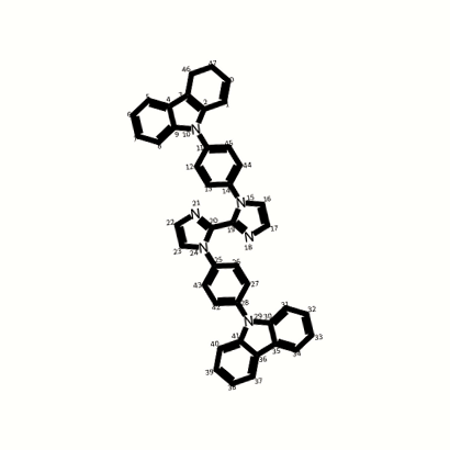 C1=Cc2c(c3ccccc3n2-c2ccc(-n3ccnc3-c3nccn3-c3ccc(-n4c5ccccc5c5ccccc54)cc3)cc2)CC1